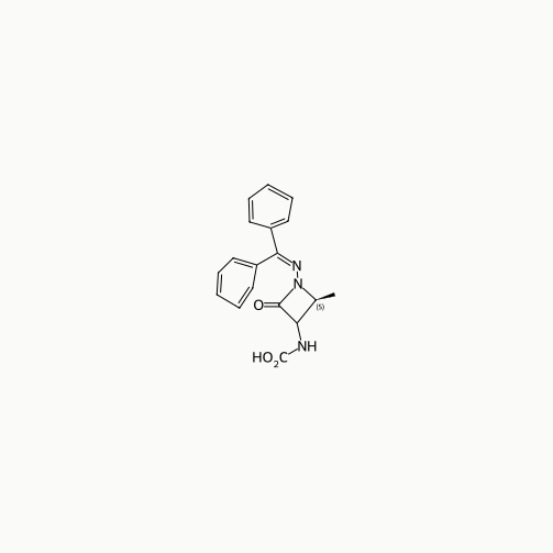 C[C@H]1C(NC(=O)O)C(=O)N1N=C(c1ccccc1)c1ccccc1